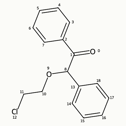 O=C(c1ccccc1)C(OCCCl)c1ccccc1